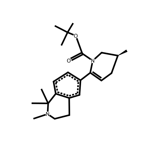 C[C@H]1CC=C(c2ccc3c(c2)CCN(C)C3(C)C)N(C(=O)OC(C)(C)C)C1